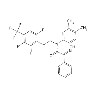 Cc1ccc(N(CCc2c(F)cc(C(F)(F)F)c(F)c2F)C(=O)/C(=N\O)c2ccccc2)cc1C